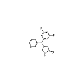 O=C1CC(C(c2cccnc2)c2cc(F)cc(F)c2)CN1